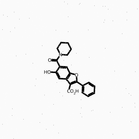 O=C(O)c1c(-c2ccccc2)oc2cc(C(=O)N3CCCCC3)c(O)cc12